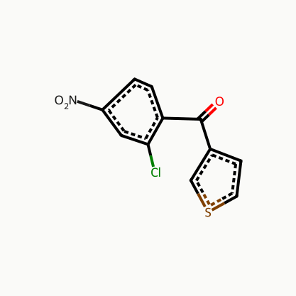 O=C(c1ccsc1)c1ccc([N+](=O)[O-])cc1Cl